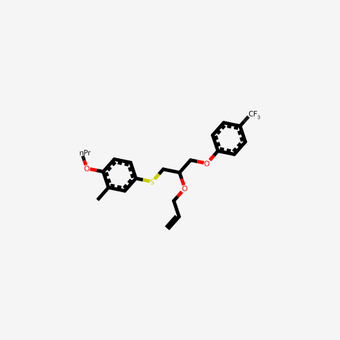 C=CCOC(COc1ccc(C(F)(F)F)cc1)CSc1ccc(OCCC)c(C)c1